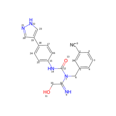 N#Cc1cccc(CN(C(=N)CO)C(=O)Nc2ccc(-c3cn[nH]c3)cc2)c1